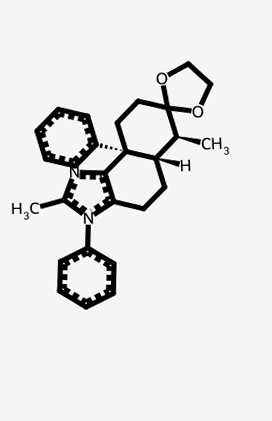 Cc1nc2c(n1-c1ccccc1)CC[C@H]1[C@H](C)C3(CC[C@]21c1ccccc1)OCCO3